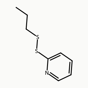 CCCSSc1ccccn1